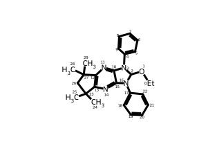 CCOC1N(c2ccccc2)c2nc3c(nc2N1c1ccccc1)C(C)(C)CC3(C)C